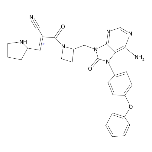 N#C/C(=C\C1CCCN1)C(=O)N1CCC1Cn1c(=O)n(-c2ccc(Oc3ccccc3)cc2)c2c(N)ncnc21